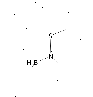 BN(C)SC